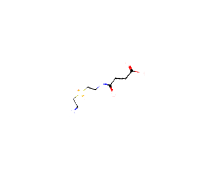 NCCS(=O)(=O)CCNC(=O)CCC(=O)O